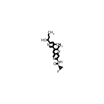 CCCC(O)c1cc(C)c(-c2cc3cnc(NC(=O)[C@@H]4C[C@@H]4F)cc3nc2C#N)cn1